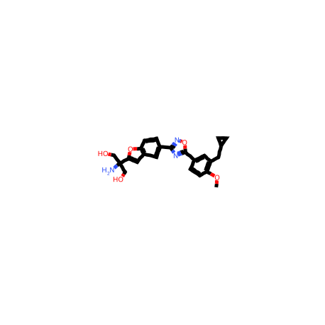 COc1ccc(-c2nc(-c3ccc4oc(C(N)(CO)CO)cc4c3)no2)cc1CC1CC1